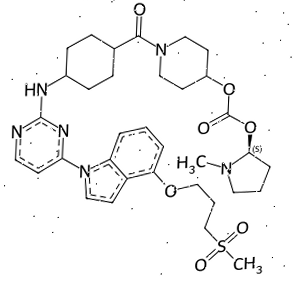 CN1CCC[C@@H]1OC(=O)OC1CCN(C(=O)C2CCC(Nc3nccc(-n4ccc5c(OCCCS(C)(=O)=O)cccc54)n3)CC2)CC1